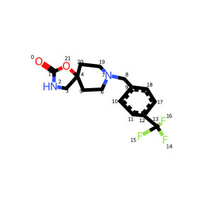 O=C1NCC2(CCN(Cc3ccc(C(F)(F)F)cc3)CC2)O1